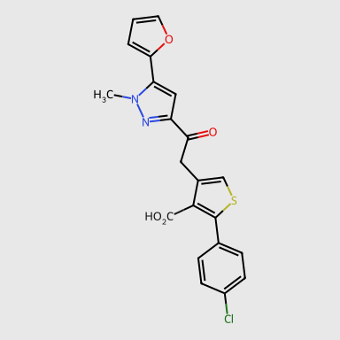 Cn1nc(C(=O)Cc2csc(-c3ccc(Cl)cc3)c2C(=O)O)cc1-c1ccco1